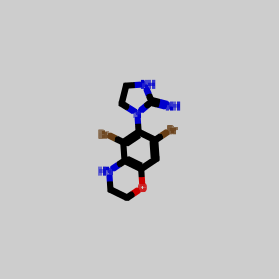 N=C1NCCN1c1c(Br)cc2c(c1Br)NCCO2